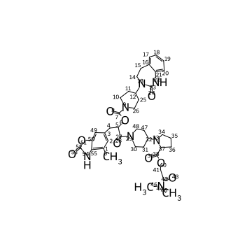 Cc1cc(CC(OC(=O)N2CCC(N3CCc4ccccc4NC3=O)CC2)C(=O)N2CCC(N3CCCC3C(=O)OCC(=O)N(C)C)CC2)cc2oc(=O)[nH]c12